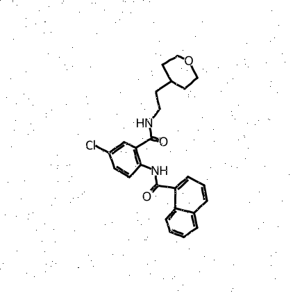 O=C(NCCC1CCOCC1)c1cc(Cl)ccc1NC(=O)c1cccc2ccccc12